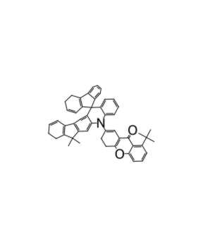 CC(C)(C)c1cccc2oc3c(c(=O)c12)C=C(N1c2ccccc2C2(C4=C(CCC=C4)c4ccccc42)c2cc4c(cc21)C(C)(C)C1=C4C=CCC1)CC3